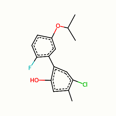 Cc1cc(O)c(-c2cc(OC(C)C)ccc2F)cc1Cl